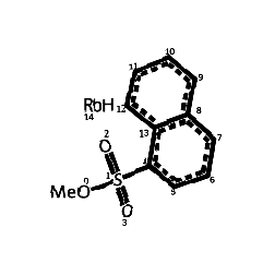 COS(=O)(=O)c1cccc2ccccc12.[RbH]